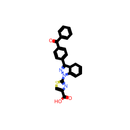 O=C(c1ccccc1)c1ccc(C2=NN(c3nc(C(=O)O)cs3)C3=CC=CCC32)cc1